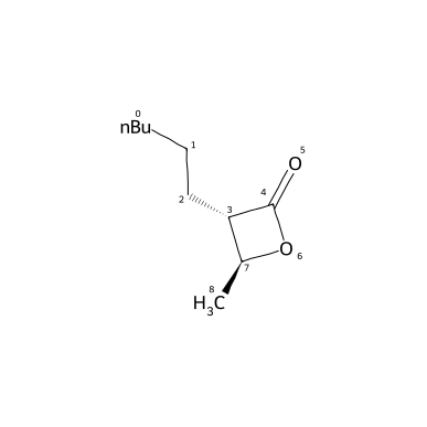 CCCCCC[C@@H]1C(=O)O[C@H]1C